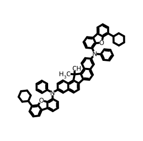 CC1(C)c2c(ccc3cc(N(c4ccccc4)c4cccc5c4oc4c(C6CCCCC6)cccc45)ccc23)-c2ccc3cc(N(c4ccccc4)c4cccc5c4oc4c(C6CCCCC6)cccc45)ccc3c21